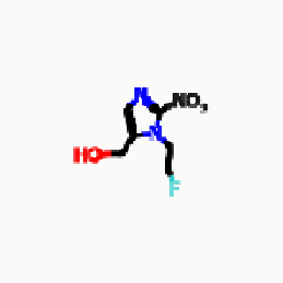 O=[N+]([O-])c1ncc(CO)n1CCF